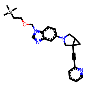 C[Si](C)(C)CCOCn1cnc2cc(N3CC4CC4(C#Cc4ccccn4)C3)ccc21